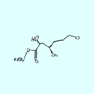 CC(C)(C)OC(=O)C(O)[C@H](O)CCCCl